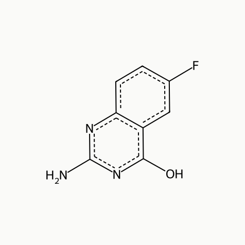 Nc1nc(O)c2cc(F)ccc2n1